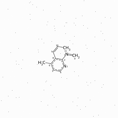 C=Nc1nccc(C)c1/C=C\C